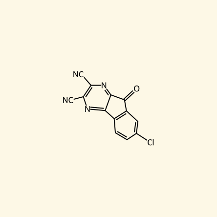 N#Cc1nc2c(nc1C#N)-c1ccc(Cl)cc1C2=O